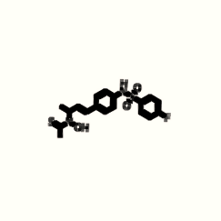 CC(=S)N(O)C(C)C=Cc1ccc(NS(=O)(=O)c2ccc(F)cc2)cc1